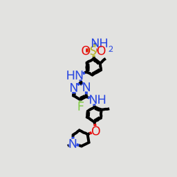 Cc1cc(OC2CCN(C)CC2)ccc1Nc1nc(Nc2ccc(C)c(S(N)(=O)=O)c2)ncc1F